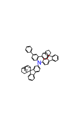 c1ccc(-c2ccc(N(c3ccc4c(c3)C3(CCCC3)c3ccccc3-4)c3ccc4c(c3)C3(c5ccccc5-4)C4CCC5CC3CC5C4)c(-c3ccccc3)c2)cc1